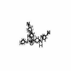 N#Cc1ccc(N[C@H]2CC[C@H](N(C(=O)NCc3ccccc3)c3ccc(N4CCC(C#N)CC4)cc3)CC2)nc1